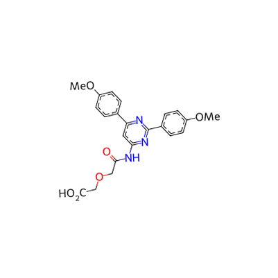 COc1ccc(-c2cc(NC(=O)COCC(=O)O)nc(-c3ccc(OC)cc3)n2)cc1